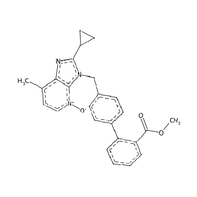 COC(=O)c1ccccc1-c1ccc(Cn2c(C3CC3)nc3c(C)cc[n+]([O-])c32)cc1